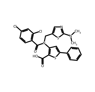 CN(C)c1ncc(CN(C(=O)c2ccc(Cl)cc2Cl)c2cc(-c3ccccc3)sc2C(=O)O)s1